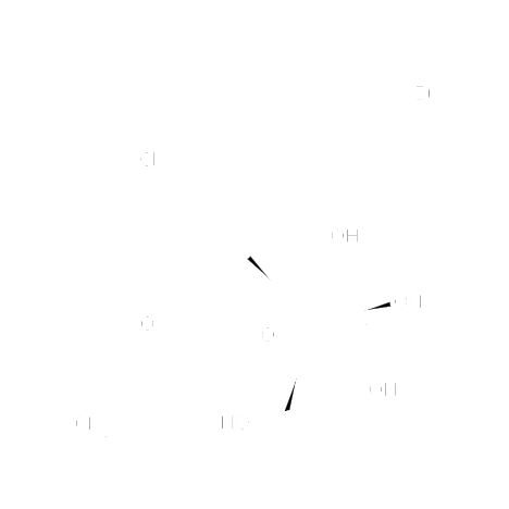 C=CCOCc1cc(Cl)c(Cc2ccc(CC)cc2)cc1[C@@H]1O[C@H](CO)[C@@H](O)[C@H](O)[C@H]1O